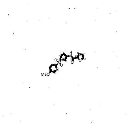 COc1ccc(S(=O)(=O)n2ccc(NC(=O)c3ccco3)c2)nc1